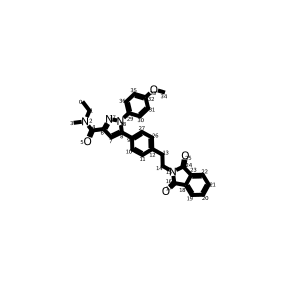 CCN(C)C(=O)c1cc(-c2ccc(CCN3C(=O)c4ccccc4C3=O)cc2)n(-c2ccc(OC)cc2)n1